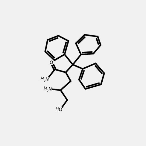 NC(=O)C(CC(N)CO)C(c1ccccc1)(c1ccccc1)c1ccccc1